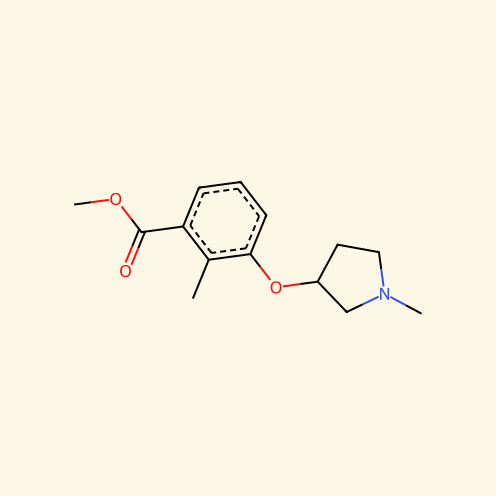 COC(=O)c1cccc(OC2CCN(C)C2)c1C